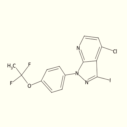 CC(F)(F)Oc1ccc(-n2nc(I)c3c(Cl)ccnc32)cc1